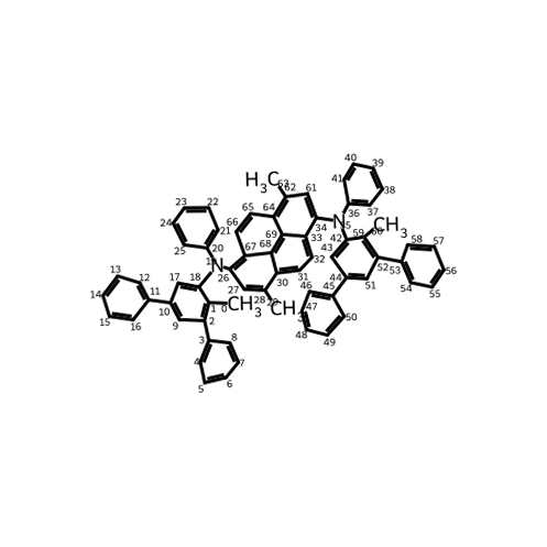 Cc1c(-c2ccccc2)cc(-c2ccccc2)cc1N(c1ccccc1)c1cc(C)c2ccc3c(N(c4ccccc4)c4cc(-c5ccccc5)cc(-c5ccccc5)c4C)cc(C)c4ccc1c2c43